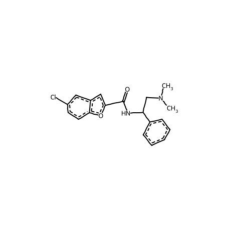 CN(C)CC(NC(=O)c1cc2cc(Cl)ccc2o1)c1ccccc1